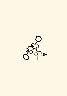 OCC(O)C1OC(C2CCCCC2)OC2COC(C3CCCCC3)OC21